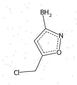 Bc1cc(CCl)on1